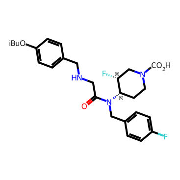 CC(C)COc1ccc(CNCC(=O)N(Cc2ccc(F)cc2)[C@H]2CCN(C(=O)O)C[C@H]2F)cc1